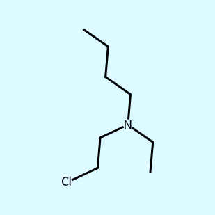 CCCCN(CC)CCCl